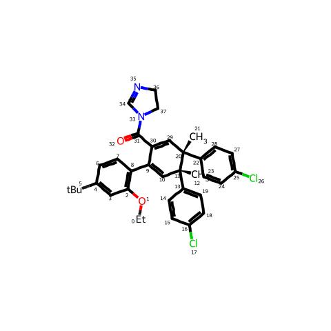 CCOc1cc(C(C)(C)C)ccc1C1=C[C@@](C)(c2ccc(Cl)cc2)[C@@](C)(c2ccc(Cl)cc2)C=C1C(=O)N1C=NCC1